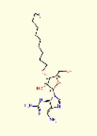 CCCCCCCCCO[C@H]1[C@@H](O)[C@H](n2cnc3c(N)nc(N)nc32)O[C@@H]1CO